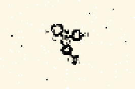 O=C1NCCCCC1N(Cc1ccc(-c2cnco2)cc1)S(=O)(=O)c1ccc(Cl)cc1